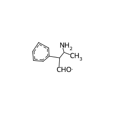 CC(N)C([C]=O)c1ccccc1